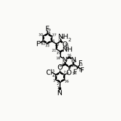 N#Cc1cc(Cl)cc(Oc2c(C(F)(F)F)ncn(CC(=N)/C=C(\C(N)=O)c3cc(F)cc(F)c3)c2=O)c1